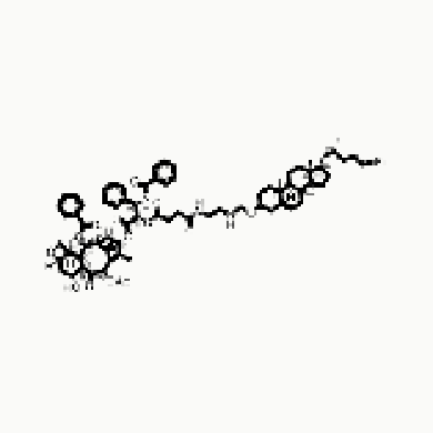 CC(=O)O[C@H]1C(=O)[C@@]2(C)[C@H]([C@H](OC(=O)c3ccccc3)[C@]3(O)C[C@H](OC(=O)[C@H](OC(=O)CCC(=O)NCCNCOC4CC[C@@]5(C)C(=CC[C@H]6[C@@H]7CC[C@@H](C[C@H](C)CCCC(C)C)[C@@]7(C)CC[C@@H]65)C4)[C@@H](NC(=O)c4ccccc4)c4ccccc4)C(C)=C1C3(C)C)[C@]1(OC(C)=O)CO[C@@H]1C[C@@H]2O